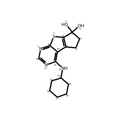 OC1(O)CCc2c1sc1ncnc(NC3CCCCC3)c21